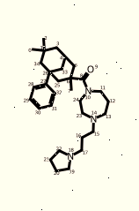 CC1(C)CC2CC(C)(C(=O)N3CCCN(CCCN4CCCC4)CC3)CC(c3ccccc3)(C2)C1